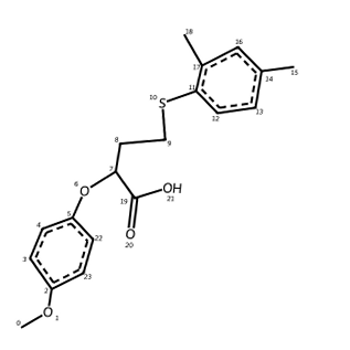 COc1ccc(OC(CCSc2ccc(C)cc2C)C(=O)O)cc1